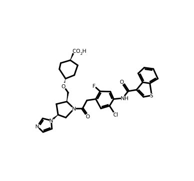 O=C(Nc1cc(F)c(CC(=O)N2C[C@@H](n3ccnc3)C[C@H]2CO[C@H]2CC[C@H](C(=O)O)CC2)cc1Cl)c1csc2ccccc12